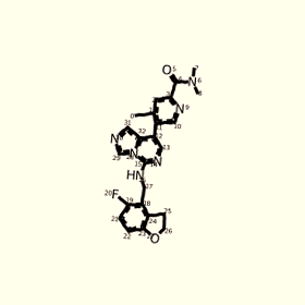 Cc1cc(C(=O)N(C)C)ncc1-c1cnc(NCc2c(F)ccc3c2CCO3)n2cncc12